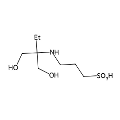 CCC(CO)(CO)NCCCS(=O)(=O)O